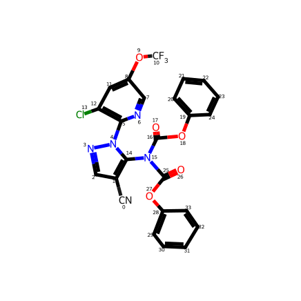 N#Cc1cnn(-c2ncc(OC(F)(F)F)cc2Cl)c1N(C(=O)Oc1ccccc1)C(=O)Oc1ccccc1